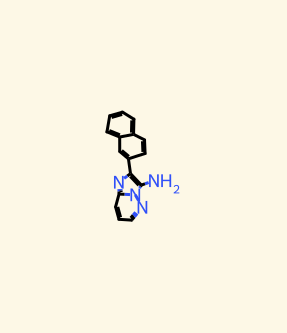 Nc1c(-c2ccc3ccccc3c2)nc2cccnn12